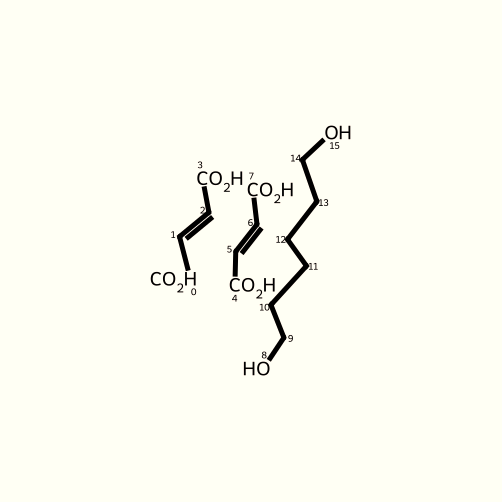 O=C(O)C=CC(=O)O.O=C(O)C=CC(=O)O.OCCCCCCO